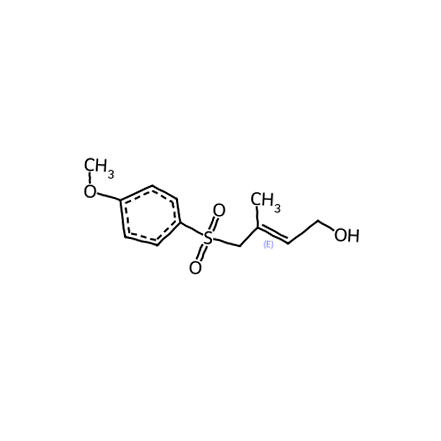 COc1ccc(S(=O)(=O)C/C(C)=C/CO)cc1